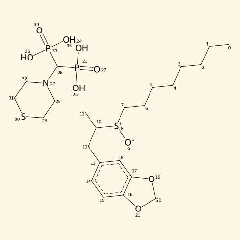 CCCCCCCC[S+]([O-])C(C)Cc1ccc2c(c1)OCO2.O=P(O)(O)C(N1CCSCC1)P(=O)(O)O